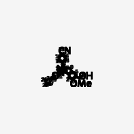 COc1cc2c(cc1CO)Cc1c(-c3ccc(C#N)cc3)nn(COCC[Si](C)(C)C)c1-2